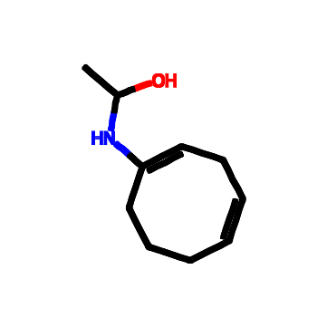 CC(O)N/C1=C/C/C=C\CCC1